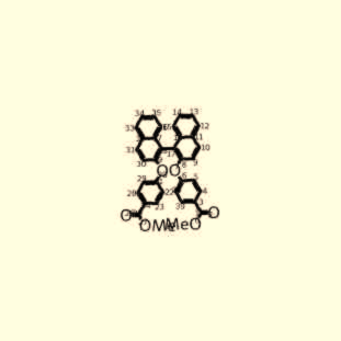 COC(=O)c1ccc(Oc2ccc3ccccc3c2-c2c(Oc3ccc(C(=O)OC)cc3)ccc3ccccc23)cc1